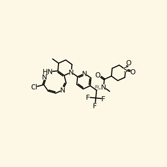 CC1CCN(c2ccc([C@H](N(C)C(=O)C3CCS(=O)(=O)CC3)C(F)(F)F)cn2)c2cnccc(Cl)n[nH]c21